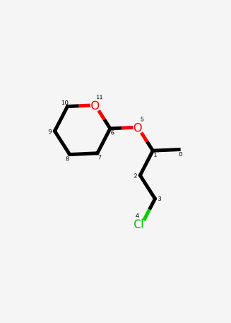 CC(CCCl)OC1CCCCO1